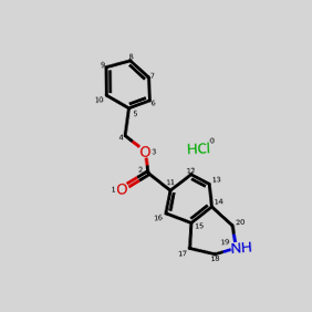 Cl.O=C(OCc1ccccc1)c1ccc2c(c1)CCNC2